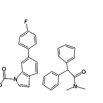 CN(C)C(=O)C(c1ccccc1)c1ccccc1.O=C(O)n1ccc2ccc(-c3ccc(F)cc3)cc21